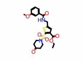 CCOC(=O)c1cc(CNC(=O)c2cccc(OC)c2)sc1S(=O)(=O)N1CCC(=O)CC1